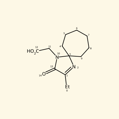 CCC1=NC2(CCCCCC2)N(CC(=O)O)C1=O